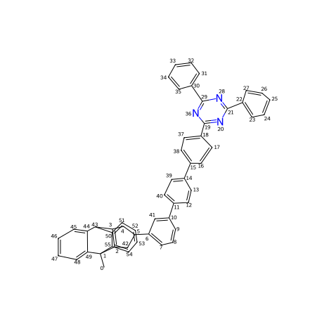 CC12C3=C(CC(c4cccc(-c5ccc(-c6ccc(-c7nc(-c8ccccc8)nc(-c8ccccc8)n7)cc6)cc5)c4)C3)C(c3ccccc31)c1ccccc12